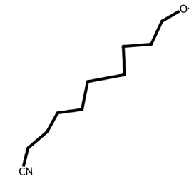 N#CCCCCCCCCC[O]